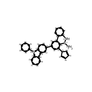 NB1Nc2ccccc2-c2cc(-c3ccc4c(c3)c3ccccc3n4-c3ccccc3)cc(C3C=CC=C3)c21